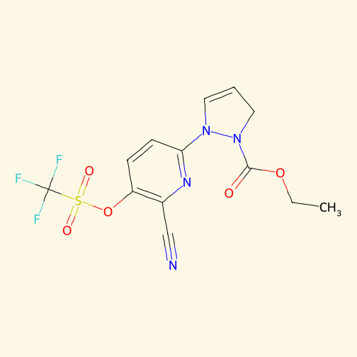 CCOC(=O)N1CC=CN1c1ccc(OS(=O)(=O)C(F)(F)F)c(C#N)n1